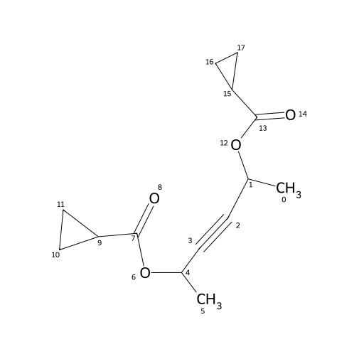 CC(C#CC(C)OC(=O)C1CC1)OC(=O)C1CC1